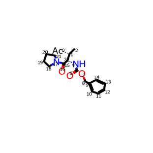 CC(=O)[C@H](C)[C@H](NC(=O)OCc1ccccc1)C(=O)N1CCCC1